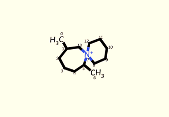 CC1CCCC(C)[N+]2(CCCCC2)C1